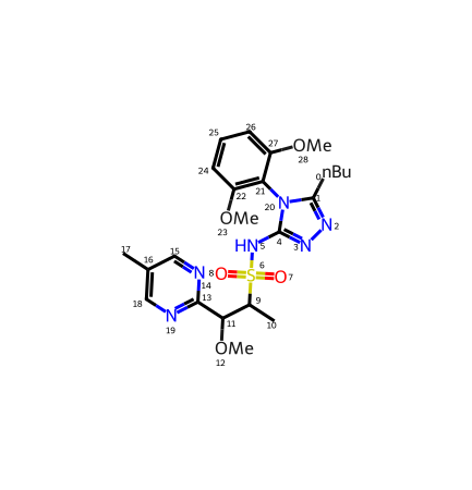 CCCCc1nnc(NS(=O)(=O)C(C)C(OC)c2ncc(C)cn2)n1-c1c(OC)cccc1OC